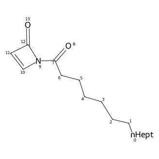 CCCCCCCCCCCCCC(=O)N1C=CC1=O